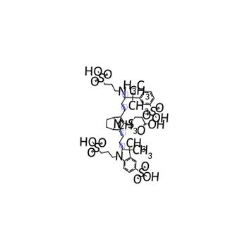 Cc1ccc(S(=O)(=O)O)cc1C(C)(C)C(/C=C/C1=C(SCCC(=O)O)C(=C/C=C2/N(CCCS(=O)(=O)O)c3ccc(S(=O)(=O)O)cc3C2(C)C)/C2CCC1N2C)=N/CCCS(=O)(=O)O